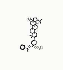 C=C(C)[C@@H]1CC[C@]2(N)CC[C@]3(C)[C@H](CCC4[C@@]5(C)CC=C(C6=CC[C@](COC(=O)c7ccccc7)(C(=O)OCC)CC6)C(C)(C)C5CC[C@]43C)C12